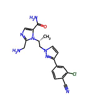 C[C@H](Cn1ccc(-c2ccc(C#N)c(Cl)c2)n1)n1c(C(N)=O)cnc1CN